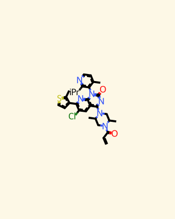 C=CC(=O)N1CC(C)N(c2nc(=O)n(-c3c(C)ccnc3C(C)C)c3nc(-c4ccsc4C)c(Cl)cc23)CC1C